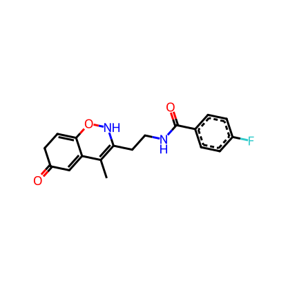 CC1=C(CCNC(=O)c2ccc(F)cc2)NOC2=CCC(=O)C=C21